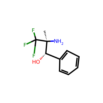 C[C@](N)([C@@H](O)c1ccccc1)C(F)(F)F